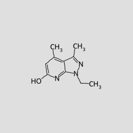 CCn1nc(C)c2c(C)cc(O)nc21